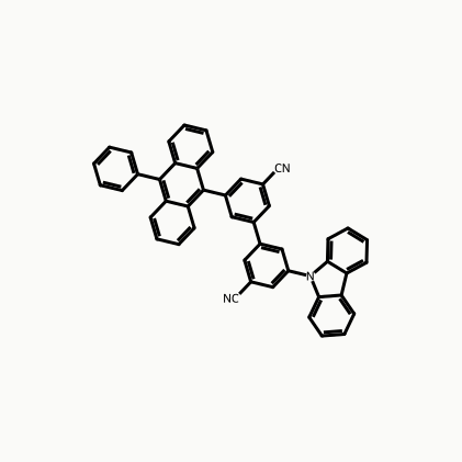 N#Cc1cc(-c2cc(C#N)cc(-n3c4ccccc4c4ccccc43)c2)cc(-c2c3ccccc3c(-c3ccccc3)c3ccccc23)c1